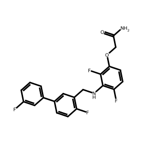 NC(=O)COc1ccc(F)c(NCc2cc(-c3cccc(F)c3)ccc2F)c1F